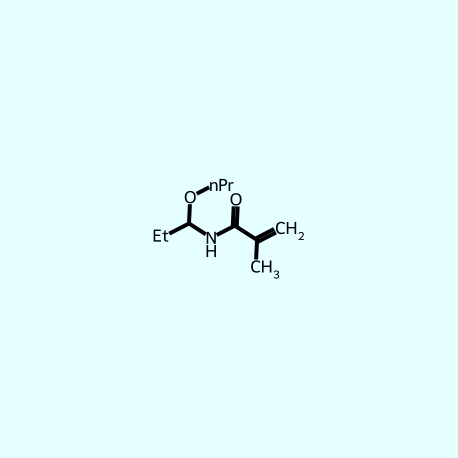 [CH2]CC(NC(=O)C(=C)C)OCCC